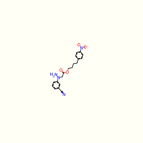 N#Cc1cccc(N(N)CC(=O)OCCCCc2ccc([N+](=O)[O-])cc2)c1